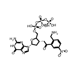 NCc1ccc([N+](=O)[O-])cc1C(=O)C[C@@H]1C[C@H](n2cnc3c(=O)[nH]c(N)nc32)OC1COP(=O)(O)OP(=O)(O)OP(=O)(O)O